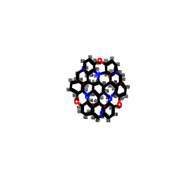 c1cncc(-c2c(N3c4ccccc4Oc4ccccc43)c(-c3cccnc3)c(N3c4ccccc4Oc4ccccc43)c(-c3cccnc3)c2N2c3ccccc3Oc3ccccc32)c1